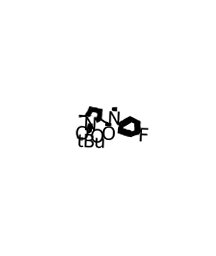 C[C@H]1CC[C@@H](C(=O)N(C)c2ccc(F)cc2)N1C(=O)OC(C)(C)C